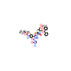 CC(=O)OCC1=C(C(=O)OC(c2ccccc2)c2ccccc2)N2C(=O)[C@@H](NC(=O)C(NC(=O)N3CCNC3=O)c3ccc(NC(=O)OC(C)(C)C)cc3)[C@@H]2SC1